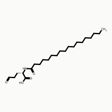 CCCCCCCCCCCCCCCCCC(=O)N[C@@H](CC[C]=O)C(=O)O